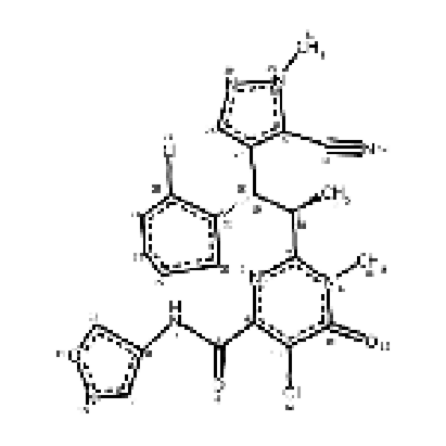 C[C@@H](c1nc(C(=O)Nc2cnoc2)c(O)c(=O)n1C)[C@H](c1ccccc1Cl)c1cnn(C)c1C#N